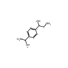 NCC(O)c1ccc(C(N)O)cc1